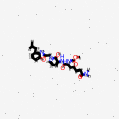 COC(=O)NC(CC/C=C/C(=O)N(C)C)C(=O)Nc1cccn(Cc2nc3c(CC(C)C)cccc3o2)c1=O